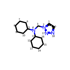 c1cn(CN(C2CCCCC2)C2CCCCC2)nn1